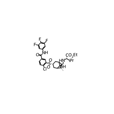 CCOC(=O)[C@@H](NC[C@@]1(O)C2C[C@@H](S(=O)(=O)c3cc(C(=O)Nc4cc(F)c(F)c(F)c4)ccc3Cl)CC1[C@@H](C)C2)C(C)C